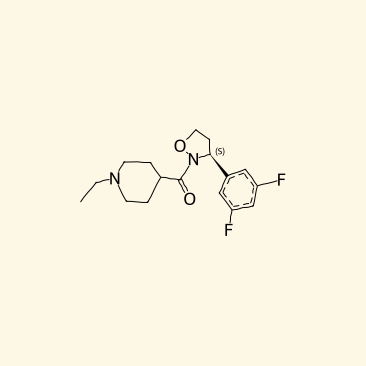 CCN1CCC(C(=O)N2OCC[C@H]2c2cc(F)cc(F)c2)CC1